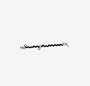 CCCCCCCCCCCCCCCCOC(=O)CCCCCCCCC(=O)O